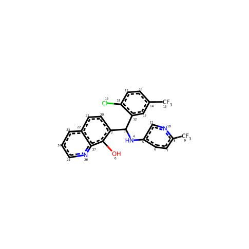 Oc1c(C(Nc2ccc(C(F)(F)F)nc2)c2cc(C(F)(F)F)ccc2Cl)ccc2cccnc12